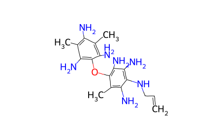 C=CCNc1c(N)c(C)c(Oc2c(N)c(C)c(N)c(C)c2N)c(N)c1N